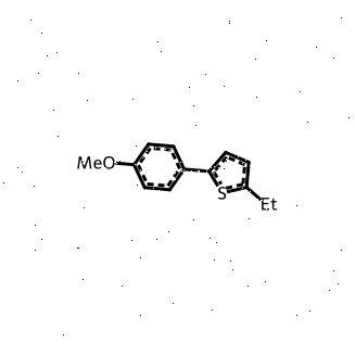 CCc1ccc(-c2ccc(OC)cc2)s1